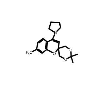 CC1(C)OCC2(C=C(N3CCCC3)c3ccc(C(F)(F)F)cc3O2)CO1